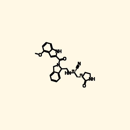 COc1cccc2[nH]c(C(=O)N3Cc4ccccc4C3CN[C@H](C#N)C[C@@H]3CCNC3=O)cc12